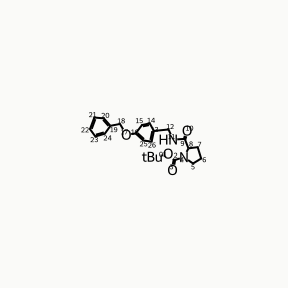 CC(C)(C)OC(=O)N1CCCC1C(=O)NCc1ccc(OCc2ccccc2)cc1